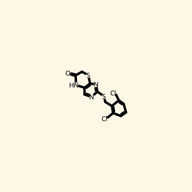 O=C1CSc2nc(SCc3c(Cl)cccc3Cl)ncc2N1